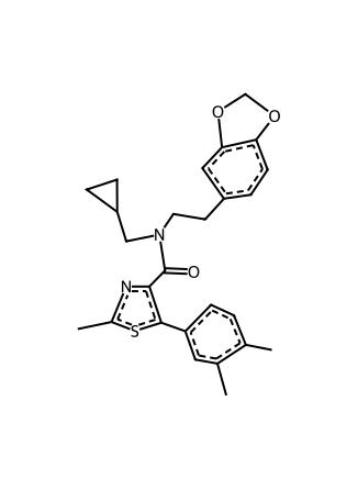 Cc1nc(C(=O)N(CCc2ccc3c(c2)OCO3)CC2CC2)c(-c2ccc(C)c(C)c2)s1